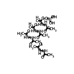 CC(=O)NNC(C)=O.CC(=O)NNC(C)=O.CC(=O)NNC(C)=O.CC(=O)NNC(C)=O.[O]=[Ti]([OH])[OH]